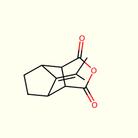 CC(C)=C1C2CCC1C1C(=O)OC(=O)C21